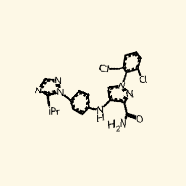 CC(C)c1ncnn1-c1ccc(Nc2cn(-c3c(Cl)cccc3Cl)nc2C(N)=O)cc1